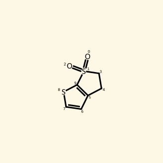 O=S1(=O)CCc2ccsc21